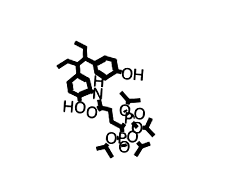 CCC(c1ccc(O)cc1)C(CC)c1ccc(O)c(NC(=O)CCC(P(=O)(OC(C)C)OC(C)C)P(=O)(OC(C)C)OC(C)C)c1